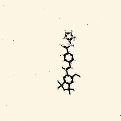 CCc1cc2c(cc1C(C)=Cc1ccc(C(=O)Nc3nnn[nH]3)cc1)C(C)(C)CC2(C)C